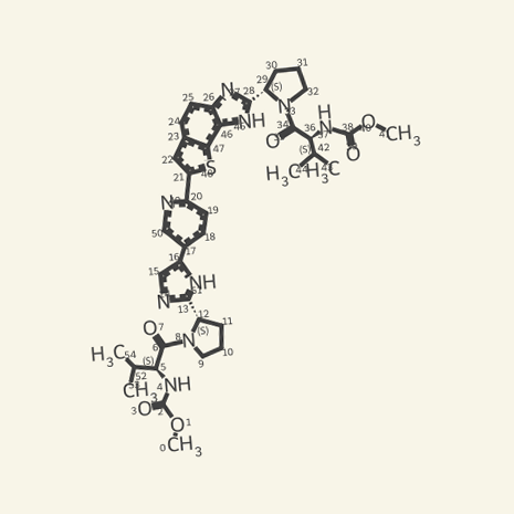 COC(=O)N[C@H](C(=O)N1CCC[C@H]1c1ncc(-c2ccc(-c3cc4ccc5nc([C@@H]6CCCN6C(=O)[C@@H](NC(=O)OC)C(C)C)[nH]c5c4s3)nc2)[nH]1)C(C)C